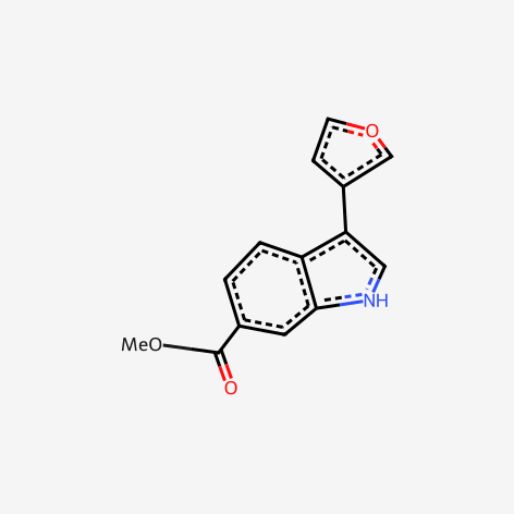 COC(=O)c1ccc2c(-c3ccoc3)c[nH]c2c1